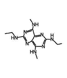 CCNc1nc(NC)c2nc(NCC)nc(NC)c2n1